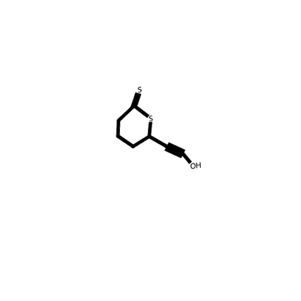 OC#CC1CCCC(=S)S1